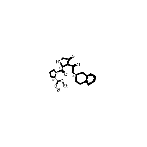 CCOC(OCC)[C@@H]1CCCN1C(=O)[C@H]1NCC(=S)C1C(=O)C[C@@H]1CCc2ccccc2C1